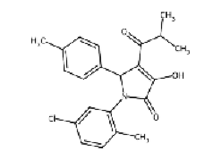 Cc1ccc(C2C(C(=O)C(C)C)=C(O)C(=O)N2c2cc(Cl)ccc2C)cc1